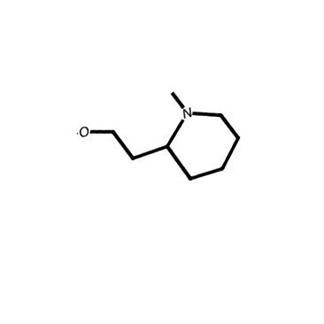 CN1CCCCC1CC[O]